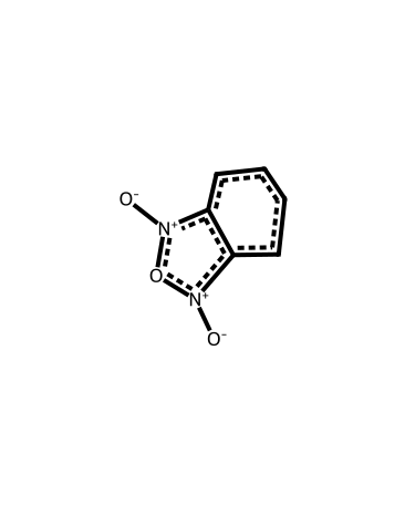 [O-][n+]1o[n+]([O-])c2ccccc21